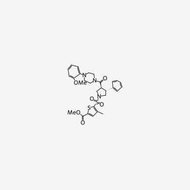 COC(=O)c1cc(C)c(S(=O)(=O)N2C[C@@H](C(=O)N3CCN(c4ccccc4OC)CC3)[C@H](c3ccccc3)C2)s1